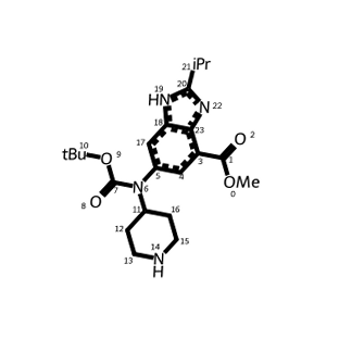 COC(=O)c1cc(N(C(=O)OC(C)(C)C)C2CCNCC2)cc2[nH]c(C(C)C)nc12